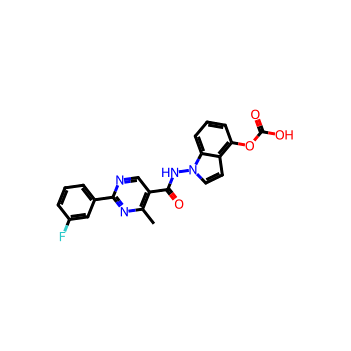 Cc1nc(-c2cccc(F)c2)ncc1C(=O)Nn1ccc2c(OC(=O)O)cccc21